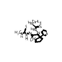 CNC(=S)N/N=C(\C(C)=N\NC(=S)NC)C1(c2cccnc2)CCCC1